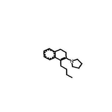 CCCCC1=C(N2CCCC2)CCc2ccccc21